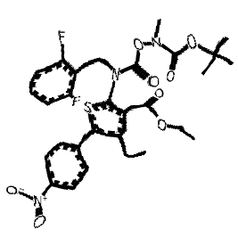 CCOC(=O)c1c(N(Cc2c(F)cccc2F)C(=O)ON(C)C(=O)OC(C)(C)C)sc(-c2ccc([N+](=O)[O-])cc2)c1CC